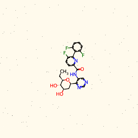 CC[C@H]1O[C@@H](c2ncncc2NC(=O)c2ccc(F)c(-c3c(F)cccc3F)n2)C[C@@H](O)[C@@H]1O